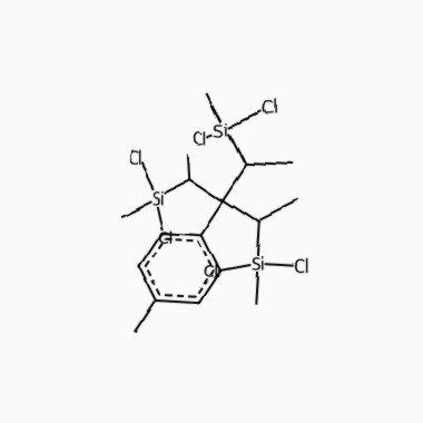 Cc1ccc(C(C(C)[Si](C)(Cl)Cl)(C(C)[Si](C)(Cl)Cl)C(C)[Si](C)(Cl)Cl)cc1